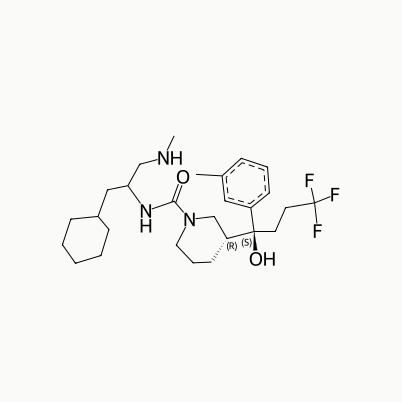 CNCC(CC1CCCCC1)NC(=O)N1CCC[C@@H]([C@@](O)(CCC(F)(F)F)c2cccc(C)c2)C1